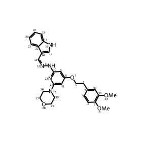 COc1ccc(CCOc2cc(N/N=C\c3c[nH]c4ccccc34)nc(N3CCOCC3)c2)cc1OC